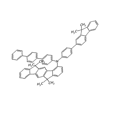 CC1(C)c2ccccc2-c2ccc(-c3ccc(N(c4ccc(-c5ccc(-c6ccccc6)cc5)cc4)c4cccc5c4-c4cc6c(cc4C5(C)C)-c4ccccc4C6(C)C)cc3)cc21